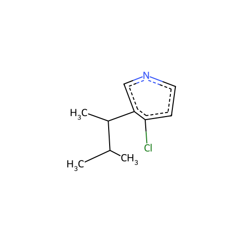 CC(C)C(C)c1cnccc1Cl